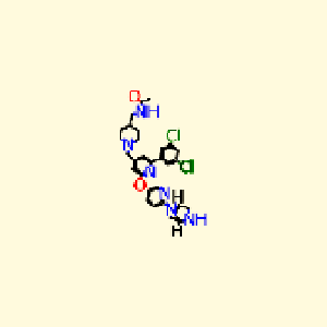 CC(=O)NCC1CCN(Cc2cc(Oc3ccc(N4C[C@@H]5C[C@H]4CN5)nc3)nc(-c3cc(Cl)cc(Cl)c3)c2)CC1